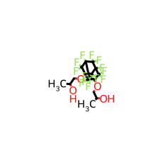 CC(O)COC12C(F)(F)C3(F)C(F)(F)C(F)(C1(F)F)C(F)(F)C(OCC(C)O)(C3(F)F)C2(F)F